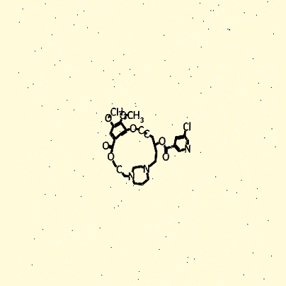 COc1cc2cc(c1OC)OCCCC(OC(=O)c1cncc(Cl)c1)CCN1CCCN(CCCOC2=O)CC1